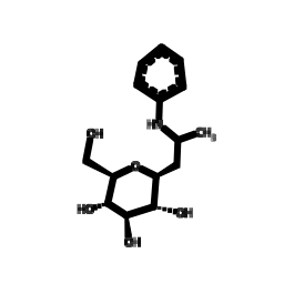 CC(C[C@@H]1O[C@H](CO)[C@@H](O)[C@H](O)[C@H]1O)Nc1ccccc1